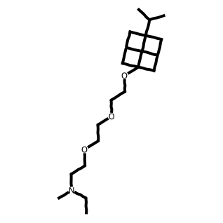 CCN(C)CCOCCOCCOC12CC3CC4(C(C)C)CC(C1)C324